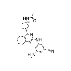 CC(=O)N[C@H]1CCN(c2nc(Nc3cc(N)cc(C#N)c3)nc3c2CCCC3)C1